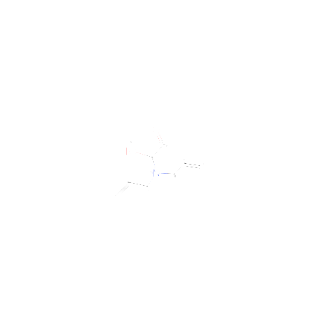 C=CCN(CC=C)C(O)C=O